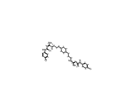 NC(=NC(=O)Nc1ccc(Cl)cc1)NCCCN1CCN(CCCNC(N)=NC(=O)Nc2ccc(Cl)cc2)CC1